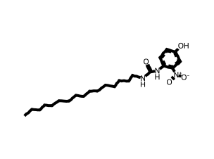 CCCCCCCCCCCCCCCCNC(=O)Nc1ccc(O)cc1[N+](=O)[O-]